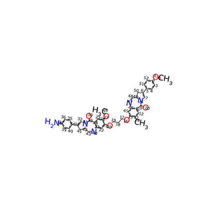 COc1ccc(C2=CN3C(=O)c4cc(C)c(OCCCOc5cc6c(cc5OC)C(=O)N5C=C(c7ccc(N)cc7)CC5C=N6)cc4N=CC3C2)cc1